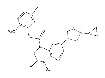 COc1ncc(C)cc1OC(=O)N1C[C@H](C)N(C(C)=O)c2ccc(C3CNN(C4CC4)C3)cc21